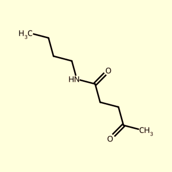 CCCCNC(=O)CCC(C)=O